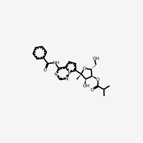 CC(C)C(=O)O[C@H]1[C@@H](O)[C@](C)(c2ccc3c(NC(=O)c4ccccc4)ncnn23)O[C@@H]1CO